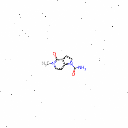 Cn1ccc2c(ccn2C(N)=O)c1=O